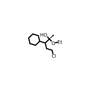 CCO[C@@](C)(O)C(CCCl)C1CCCCC1